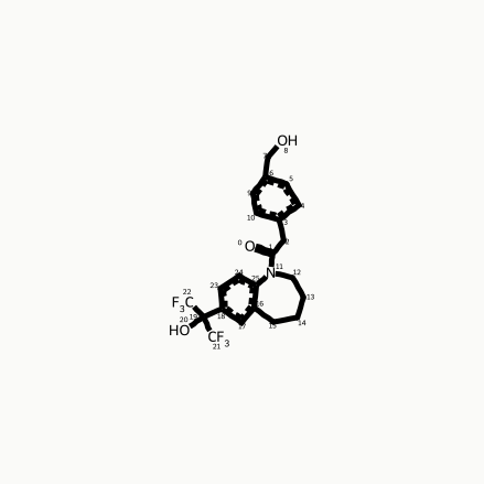 O=C(Cc1ccc(CO)cc1)N1CCCCc2cc(C(O)(C(F)(F)F)C(F)(F)F)ccc21